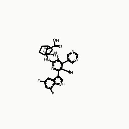 N#Cc1c(-c2c[nH]c3c(F)cc(F)cc23)nc(N[C@@H]2C3CCC(CC3)[C@H]2C(=O)O)c(F)c1-c1cncnc1